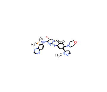 COc1cc(N2CCOCC2)c(-c2ccnn2C)cc1Nc1ncc(Br)c(Nc2ccc3nccnc3c2P(C)C)n1